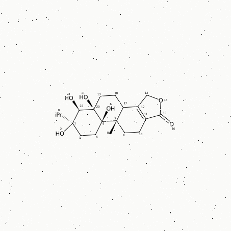 CC(C)[C@@]1(O)CC[C@@]2(O)[C@@]3(C)CCC4=C(COC4=O)C3CC[C@@]2(O)[C@@H]1O